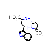 NC(CCc1c[nH]c2ccccc12)C(=O)O.O=C(O)[C@H]1CCCN1